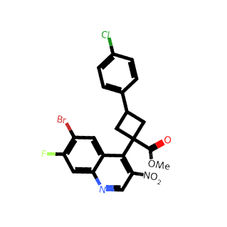 COC(=O)C1(c2c([N+](=O)[O-])cnc3cc(F)c(Br)cc23)CC(c2ccc(Cl)cc2)C1